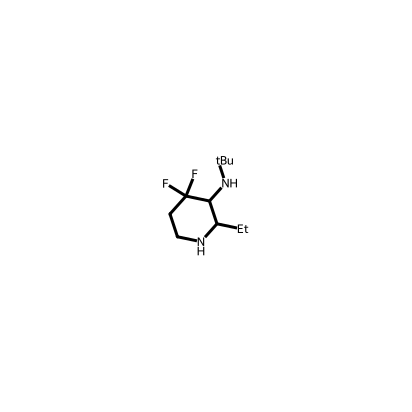 CCC1NCCC(F)(F)C1NC(C)(C)C